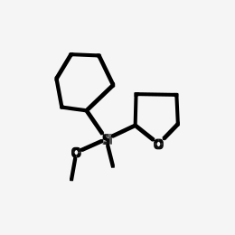 CO[Si](C)(C1CCCCC1)C1CCCO1